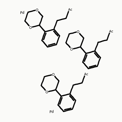 CC(=O)CCc1ccccc1C1COCCO1.CC(=O)CCc1ccccc1C1COCCO1.CC(=O)CCc1ccccc1C1COCCO1.[Pd].[Pd]